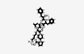 CC(C)C[C@@H](NC(=O)C(Cc1ccccc1)NC(=O)[C@H](N)Cc1ccccc1)C(=O)N[C@H](CCCCCN)C(=O)N1CCC(N2CCC[C@H]2C(=O)O)CC1